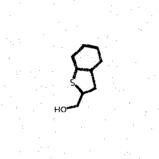 OCC1CC2CCCCC2S1